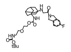 CC(C)(C)OC(=O)NCCOCCOC(=O)NC12CC3CC(CC(NCC(=O)N4Cc5ccc(F)cc5C4)(C3)C1)C2